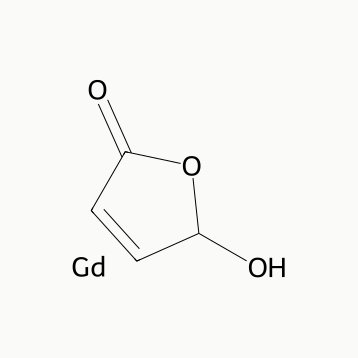 O=C1C=CC(O)O1.[Gd]